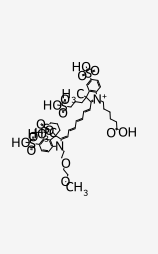 COCCOCCN1/C(=C/C=C/C=C/C=C/C2=[N+](CCCCCC(=O)O)c3ccc(S(=O)(=O)O)cc3C2(C)CCCS(=O)(=O)O)C(C)(CCCS(=O)(=O)O)c2cc(S(=O)(=O)O)ccc21